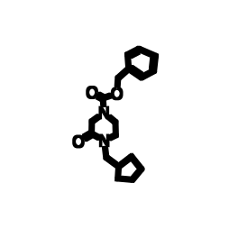 O=C1CN(C(=O)OCc2ccccc2)CCN1CC1CCCC1